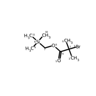 CC(C)(Br)C(=O)OC[Si](C)(C)C